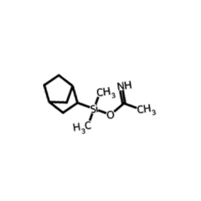 CC(=N)O[Si](C)(C)C1CC2CCC1C2